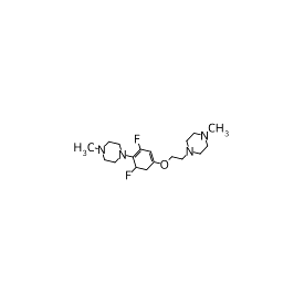 CN1CCN(CCOC2=CC(F)=C(N3CCN(C)CC3)C(F)C2)CC1